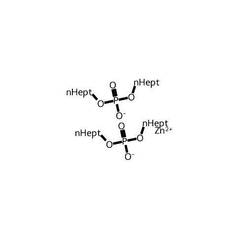 CCCCCCCOP(=O)([O-])OCCCCCCC.CCCCCCCOP(=O)([O-])OCCCCCCC.[Zn+2]